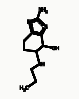 CCCNC1CCc2nc(N)sc2C1O